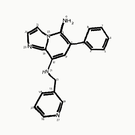 Nc1c(-c2ccccc2)cc(NCc2cccnc2)c2nccn12